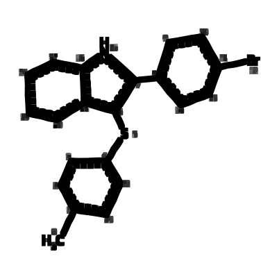 Cc1ccc(Sc2c(-c3ccc(Br)cc3)[nH]c3ccccc23)cc1